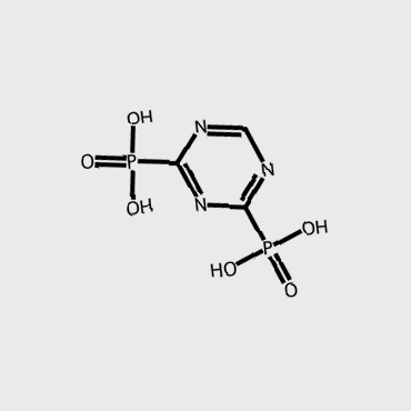 O=P(O)(O)c1ncnc(P(=O)(O)O)n1